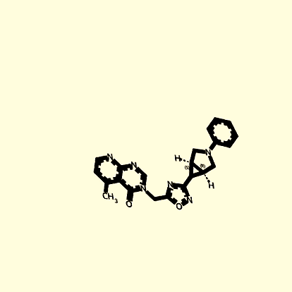 Cc1ccnc2ncn(Cc3nc(C4[C@H]5CN(c6ccccc6)C[C@@H]45)no3)c(=O)c12